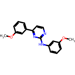 COc1cccc(Nc2nccc(-c3cccc(OC)c3)n2)c1